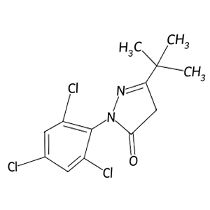 CC(C)(C)C1=NN(c2c(Cl)cc(Cl)cc2Cl)C(=O)C1